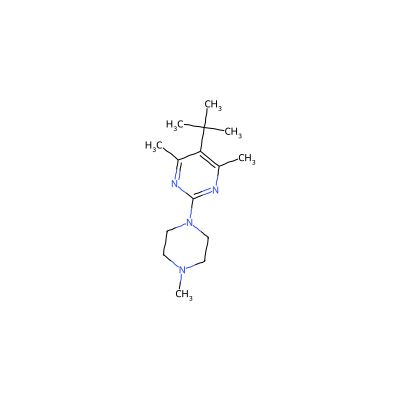 Cc1nc(N2CCN(C)CC2)nc(C)c1C(C)(C)C